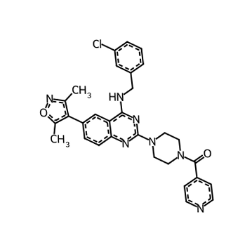 Cc1noc(C)c1-c1ccc2nc(N3CCN(C(=O)c4ccncc4)CC3)nc(NCc3cccc(Cl)c3)c2c1